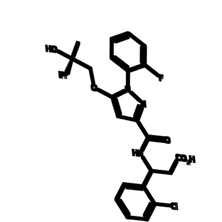 CC(C)[C@](C)(O)COc1cc(C(=O)NC(CC(=O)O)c2ccccc2Cl)nn1-c1ccccc1F